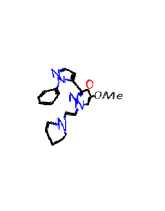 COc1cn(CCN2CCCCC2)nc(-c2ccnn2-c2ccccc2)c1=O